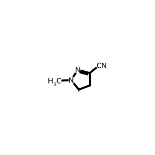 CN1[CH]CC(C#N)=N1